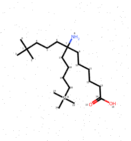 CC(C)(C)CCCC(N)(CCCCCC(=O)O)CCCC[Si](C)(C)C